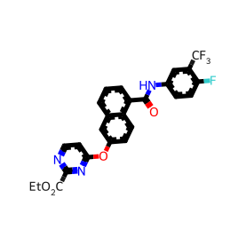 CCOC(=O)c1nccc(Oc2ccc3c(C(=O)Nc4ccc(F)c(C(F)(F)F)c4)cccc3c2)n1